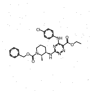 CCOC(=O)c1nnc(N[C@@H]2CCCN(C(=O)OCc3ccccc3)[C@@H]2C)nc1Nc1ccc(Cl)cc1